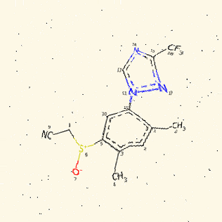 Cc1cc(C)c([S+]([O-])CC#N)cc1-n1cnc(C(F)(F)F)n1